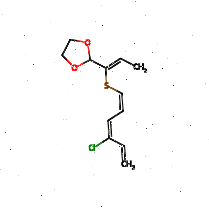 C=C/C(Cl)=C\C=C/S/C(=C\C)C1OCCO1